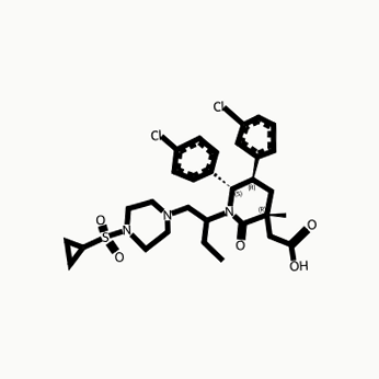 CCC(CN1CCN(S(=O)(=O)C2CC2)CC1)N1C(=O)[C@@](C)(CC(=O)O)C[C@H](c2cccc(Cl)c2)[C@H]1c1ccc(Cl)cc1